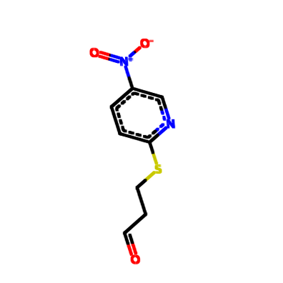 O=CCCSc1ccc([N+](=O)[O-])cn1